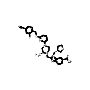 C[C@H]1CN(c2cccc(OCc3ccc(C#N)cc3F)n2)CCN1Cc1nc2ccc(C(=O)O)cc2n1C[C@H]1CCOC1